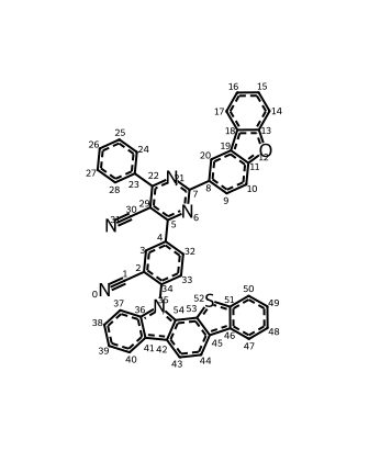 N#Cc1cc(-c2nc(-c3ccc4oc5ccccc5c4c3)nc(-c3ccccc3)c2C#N)ccc1-n1c2ccccc2c2ccc3c4ccccc4sc3c21